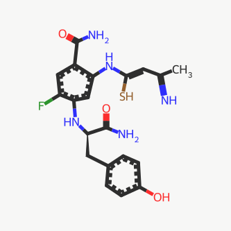 CC(=N)/C=C(\S)Nc1cc(N[C@H](Cc2ccc(O)cc2)C(N)=O)c(F)cc1C(N)=O